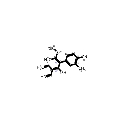 C=C/C(C=N)=C(S)\C(=C(/C)SC(C)(C)C)c1ccc(C#N)c(C)c1